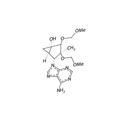 COCOC1[C@]2(O)C[C@@H]2[C@@H](n2cnc3c(N)ncnc32)[C@]1(C)OCOC